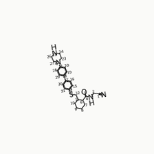 N#CCNC(=O)C1CCCCC1CSc1ccc(-c2ccc(N3CCNCC3)cc2)cc1